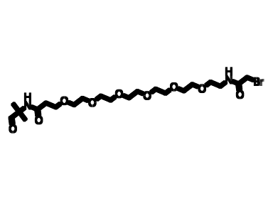 CC(C)(C=O)NC(=O)CCOCCOCCOCCOCCOCCOCCNC(=O)CBr